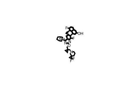 C#Cc1c(F)ccc2cc(O)cc(-c3c(F)cc4c(N5CC6CCC(C5)N6)nc(OCC5(CN6CCCC7(C6)CC7(F)F)CC5)nc4c3F)c12